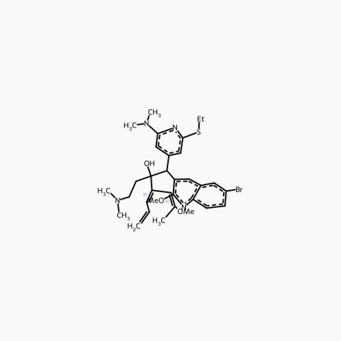 C=C/C=C(\C=C(/C)OC)C(O)(CCN(C)C)C(c1cc(SCC)nc(N(C)C)c1)c1cc2cc(Br)ccc2nc1OC